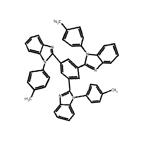 Cc1ccc(-n2c(-c3cc(-c4nc5ccccc5n4-c4ccc(C)cc4)cc(-c4nc5ccccc5n4-c4ccc(C)cc4)c3)nc3ccccc32)cc1